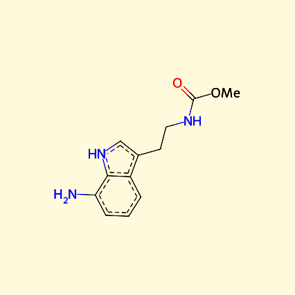 COC(=O)NCCc1c[nH]c2c(N)cccc12